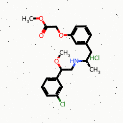 COC(=O)COc1cccc(CC(C)NCC(OC)c2cccc(Cl)c2)c1.Cl